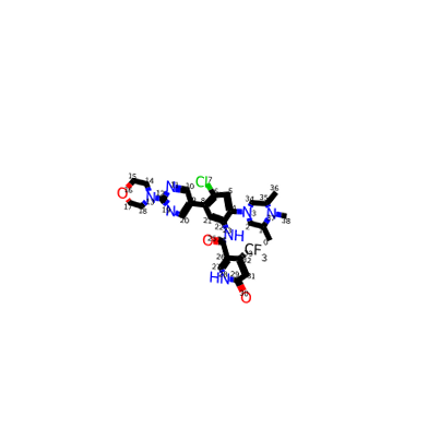 CC1CN(c2cc(Cl)c(-c3cnc(N4CCOCC4)nc3)cc2NC(=O)c2c[nH]c(=O)cc2C(F)(F)F)CC(C)N1C